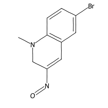 CN1CC(N=O)=Cc2cc(Br)ccc21